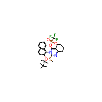 CSC1N=C2CCCCC2=C(OS(=O)(=O)C(F)(F)F)N1c1c(O[Si](C)(C)C(C)(C)C)ccc2ccccc12